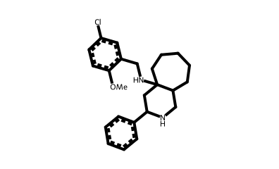 COc1ccc(Cl)cc1CNC12CCCCCC1CNC(c1ccccc1)C2